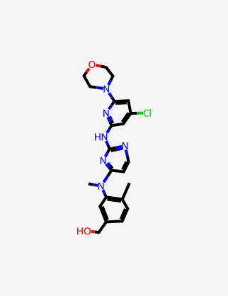 Cc1ccc(CO)cc1N(C)c1ccnc(Nc2cc(Cl)cc(N3CCOCC3)n2)n1